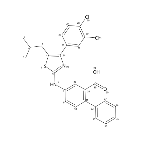 CC(C)Cc1sc(Nc2ccc(-c3ccccc3)c(C(=O)O)c2)nc1-c1ccc(Cl)c(Cl)c1